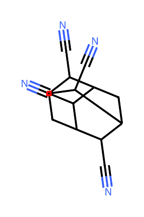 N#CC1C2CC3C(C#N)C1CC(C2C#N)C3C#N